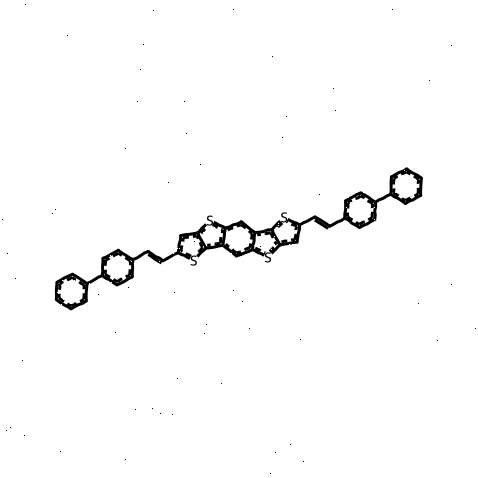 C(=C\c1cc2sc3cc4c(cc3c2s1)sc1cc(/C=C/c2ccc(-c3ccccc3)cc2)sc14)/c1ccc(-c2ccccc2)cc1